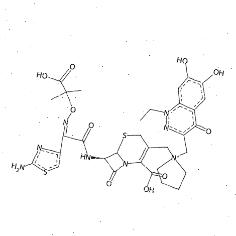 CCn1nc(C[N+]2(CC3=C(C(=O)O)N4C(=O)[C@@H](NC(=O)/C(=N\OC(C)(C)C(=O)O)c5csc(N)n5)C4SC3)CCCC2)c(=O)c2cc(O)c(O)cc21